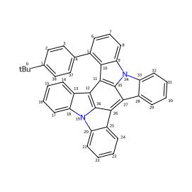 CC(C)(C)c1ccc(-c2cccc3c2c2c4c5ccccc5n5c6ccccc6c(c6c7ccccc7n3c62)c45)cc1